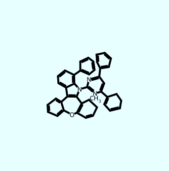 CC1CC=CC2=C1c1c(c3cccc(-c4ccccc4)c3n1-c1nc(C3=CC=CCC3)cc(-c3ccccc3)n1)-c1ccccc1O2